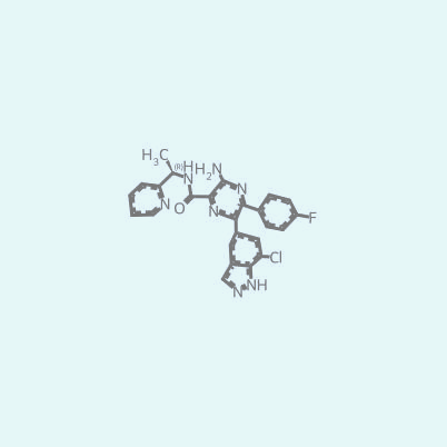 C[C@@H](NC(=O)c1nc(-c2cc(Cl)c3[nH]ncc3c2)c(-c2ccc(F)cc2)nc1N)c1ccccn1